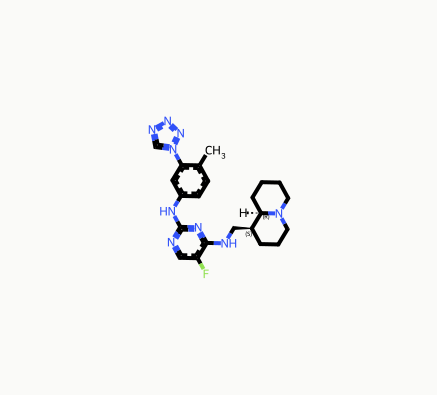 Cc1ccc(Nc2ncc(F)c(NC[C@@H]3CCCN4CCCC[C@H]34)n2)cc1-n1cnnn1